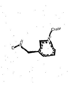 CO[n+]1cccc(CNCl)c1